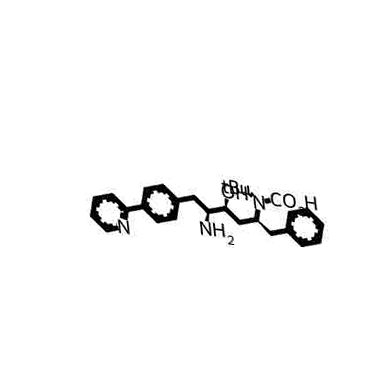 CC(C)(C)N(C(=O)O)[C@@H](Cc1ccccc1)C[C@H](O)[C@@H](N)Cc1ccc(-c2ccccn2)cc1